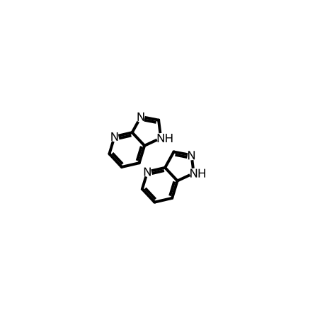 c1cnc2cn[nH]c2c1.c1cnc2nc[nH]c2c1